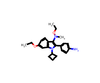 CCOc1ccc2c(N(C)OCC)c(-c3ccc(N)cc3)n(C3CCC3)c2c1